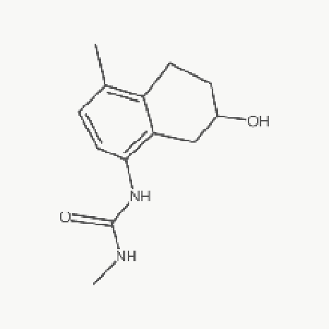 CNC(=O)Nc1ccc(C)c2c1CC(O)CC2